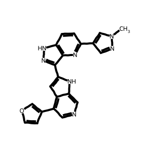 Cn1cc(-c2ccc3[nH]nc(-c4cc5c(-c6ccoc6)cncc5[nH]4)c3n2)cn1